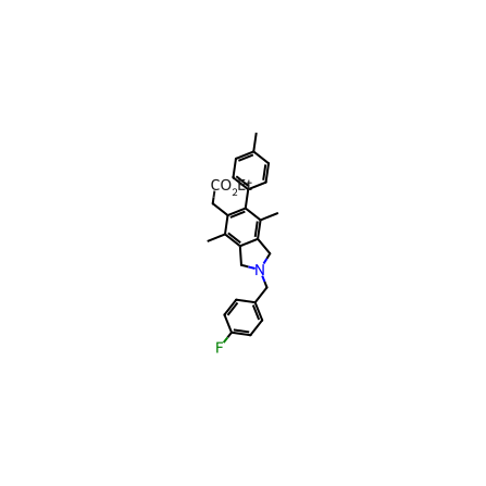 CCOC(=O)Cc1c(C)c2c(c(C)c1-c1ccc(C)cc1)CN(Cc1ccc(F)cc1)C2